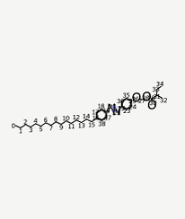 CCCCCCCCCCCCCCCCc1ccc(/N=N/c2ccc(OCOC(=O)C(C)CC)cc2)cc1